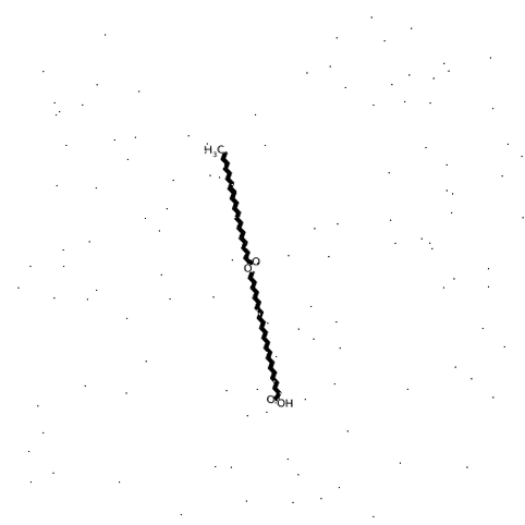 CCCCCCCCC=CCCCCCCCCCCCCCC(=O)OCCCCCCCCCCCCCCCCCCCCCCCCCC(=O)O